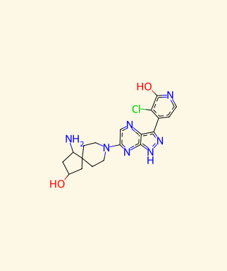 NC1CC(O)CC12CCN(c1cnc3c(-c4ccnc(O)c4Cl)n[nH]c3n1)CC2